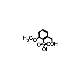 COc1cccc(CO)c1S(=O)(=O)O